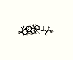 CC(C)NC(=O)NC[C@H]1CC[C@H]2[C@@H]3CC[C@H]4N(C)C(=O)CC[C@]4(C)[C@H]3CC[C@]12C